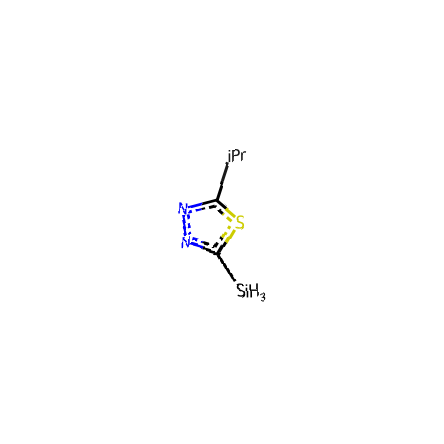 CC(C)c1nnc([SiH3])s1